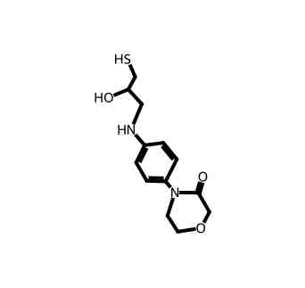 O=C1COCCN1c1ccc(NCC(O)CS)cc1